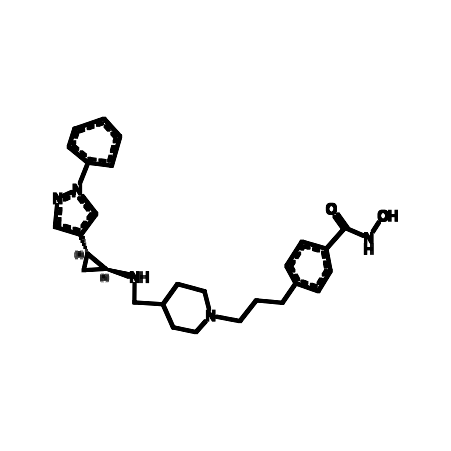 O=C(NO)c1ccc(CCCN2CCC(CN[C@H]3C[C@@H]3c3cnn(-c4ccccc4)c3)CC2)cc1